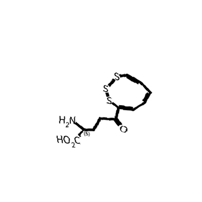 N[C@@H](CCC(=O)C1=CC=CC=CSSS1)C(=O)O